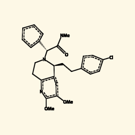 CNC(=O)[C@@H](c1ccccc1)N1CCc2nc(OC)c(OC)cc2[C@@H]1CCc1ccc(Cl)cc1